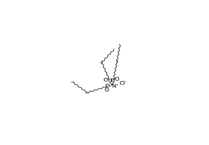 CCCCCCCCC=CCCCCCCCC(=O)OCC(COC(=O)CCCCCCC/C=C\CCCCCCCC)(COC(=O)CCCCCCC/C=C\CCCCCCCC)[N+](C)(C)C.[Cl-]